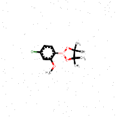 COc1cc(Cl)ccc1B1OC(C)(C)C(C)(C)O1